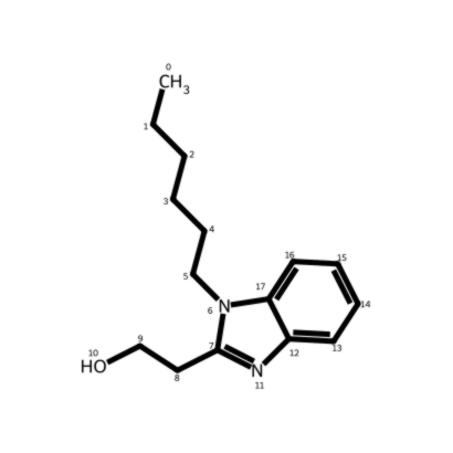 CCCCCCn1c(CCO)nc2ccccc21